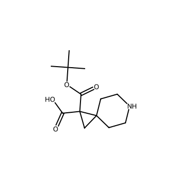 CC(C)(C)OC(=O)C1(C(=O)O)CC12CCNCC2